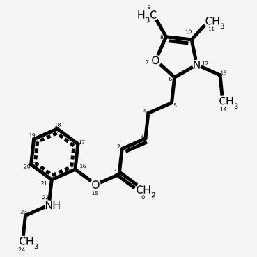 C=C(C=CCCC1OC(C)=C(C)N1CC)Oc1ccccc1NCC